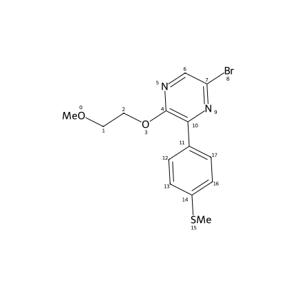 COCCOc1ncc(Br)nc1-c1ccc(SC)cc1